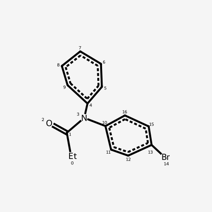 CCC(=O)N(c1ccccc1)c1ccc(Br)cc1